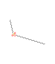 CCCCCCCCCCCCCCCCCCCCCOS(=O)(=O)CCCCCCCCCC